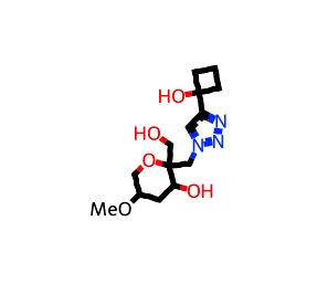 COC1COC(CO)(Cn2cc(C3(O)CCC3)nn2)C(O)C1